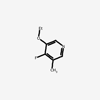 CCOc1cncc(C)c1F